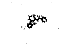 Cc1ccc2[nH]c3c(c2c1)CCNCC3CC(O)c1ccncc1